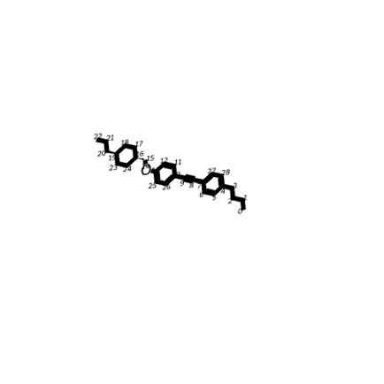 CCCCc1ccc(C#Cc2ccc(OC[C@H]3CC[C@H](CCC)CC3)cc2)cc1